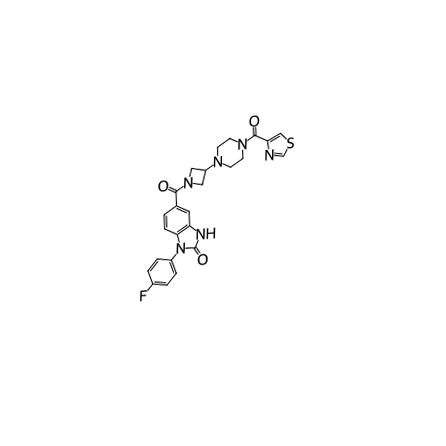 O=C(c1ccc2c(c1)[nH]c(=O)n2-c1ccc(F)cc1)N1CC(N2CCN(C(=O)c3cscn3)CC2)C1